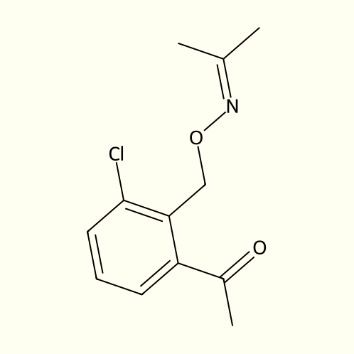 CC(=O)c1cccc(Cl)c1CON=C(C)C